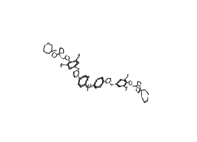 CC1(OC(=O)COc2c(I)cc(COc3ccc([I+]c4ccc(OCc5cc(I)c(OCC(=O)OC6(C)CCCCC6)c(I)c5)cc4)cc3)cc2I)CCCCC1